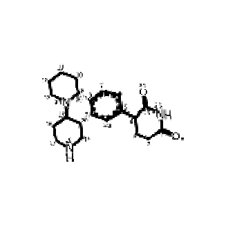 O=C1CCC(c2ccc([C@H]3CCCCN3C3CCNCC3)cc2)C(=O)N1